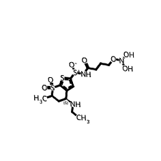 CCN[C@H]1CC(C)S(=O)(=O)c2sc([S+]([O-])NC(=O)CCCON(O)O)cc21